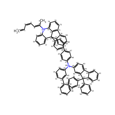 C=C/C=C\C=C(/C)N1c2ccccc2C2(c3ccccc3)c3cc(-c4ccc(N(c5cccc(-c6ccccc6)c5)c5ccc6c(c5)C(c5ccccc5)(c5ccccc5)c5ccccc5-6)cc4)ccc3-c3cccc1c32